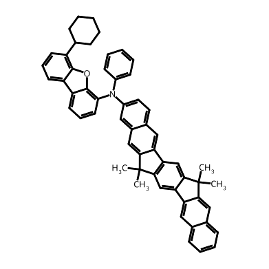 CC1(C)c2cc3c(cc2-c2cc4ccccc4cc21)C(C)(C)c1cc2cc(N(c4ccccc4)c4cccc5c4oc4c(C6CCCCC6)cccc45)ccc2cc1-3